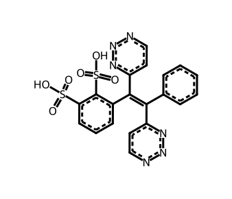 O=S(=O)(O)c1cccc(C(=C(c2ccccc2)c2ccnnn2)c2ccnnn2)c1S(=O)(=O)O